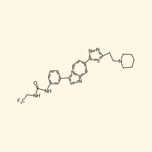 O=C(NCC(F)(F)F)Nc1cccc(-c2cnc3cc(-c4nnc(CCN5CCCCC5)s4)ccn23)c1